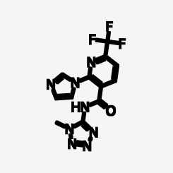 Cn1nnnc1NC(=O)c1ccc(C(F)(F)F)nc1-n1ccnc1